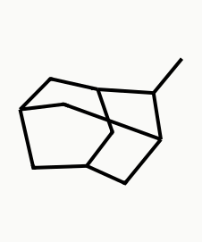 CC1[C]2CC3CC(C2)CC1C3